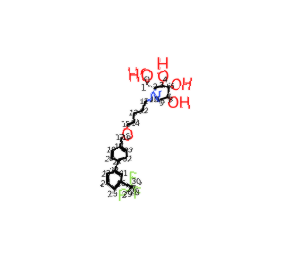 OC[C@@H]1[C@@H](O)[C@H](O)[C@@H](O)CN1CCCCCOCc1ccc(-c2cccc(C(F)(F)F)c2)cc1